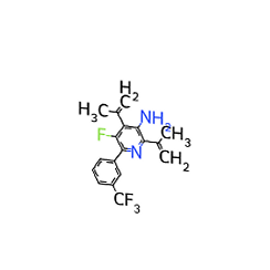 C=C(C)c1nc(-c2cccc(C(F)(F)F)c2)c(F)c(C(=C)C)c1N